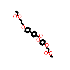 C=COC(=O)CCOc1ccc(OC(=O)c2ccc(-c3ccc(OCCCCOC(=O)C=C)cc3)cc2)cc1